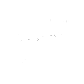 CCCCCC(=O)O.CCCCCC(=O)O.CCCCCC(=O)O.CCCCCC(=O)O.CCCCCC(=O)O.CCCCCC(=O)O.OCC(CO)(CO)COCC(CO)(CO)CO